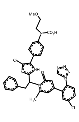 COCCN(C(=O)O)c1ccc(-c2[nH]c(C(Cc3ccccc3)n3c(C)cc(-c4cc(Cl)ccc4-n4cnnn4)cc3=O)nc2Cl)cc1